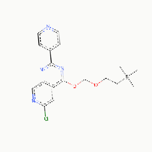 C[Si](C)(C)CCOCOc1nc(-c2ccncc2)nc2cnc(Cl)cc12